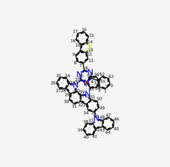 c1ccc(-c2nc(-c3ccc4c(c3)sc3ccccc34)nc(-n3c4ccccc4c4ccc5c6cc(-n7c8ccccc8c8ccccc87)ccc6n(-c6ccccc6)c5c43)n2)cc1